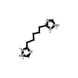 c1nc(CCCCCc2nc[nH]n2)n[nH]1